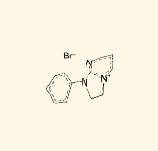 [Br-].c1ccc(N2CC[n+]3cccnc32)cc1